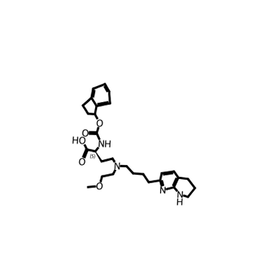 COCCN(CCCCc1ccc2c(n1)NCCC2)CC[C@H](NC(=O)OC1CCc2ccccc21)C(=O)O